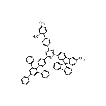 Cc1ccc2c(c1)-c1ccc(-c3nc(-c4ccc(-c5ccc(C)nc5C)cc4)nc(-c4ccc(-c5c(-c6ccccc6)cc(-c6ccccc6)cc5-c5ccccc5)cc4)n3)cc1C21c2ccccc2-c2ccccc21